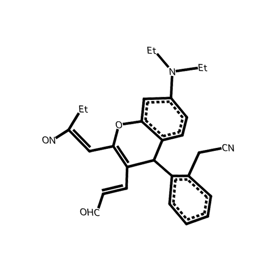 CC/C(=C\C1=C(/C=C/C=O)C(c2ccccc2CC#N)c2ccc(N(CC)CC)cc2O1)N=O